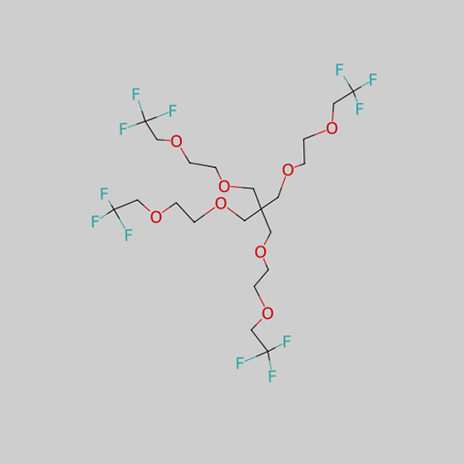 FC(F)(F)COCCOCC(COCCOCC(F)(F)F)(COCCOCC(F)(F)F)COCCOCC(F)(F)F